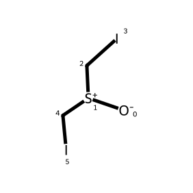 [O-][S+](CI)CI